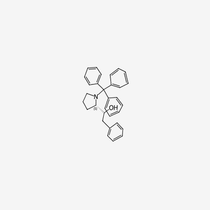 OC(Cc1ccccc1)[C@@H]1CCCN1C(c1ccccc1)(c1ccccc1)c1ccccc1